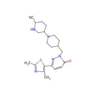 Cc1nc(C)c(-c2ccc(=O)n(CC3CCN(C4CCC(C#N)NC4)CC3)n2)s1